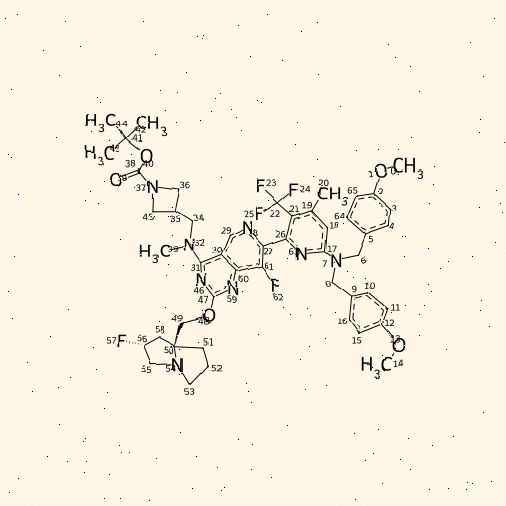 COc1ccc(CN(Cc2ccc(OC)cc2)c2cc(C)c(C(F)(F)F)c(-c3ncc4c(N(C)CC5CN(C(=O)OC(C)(C)C)C5)nc(OC[C@@]56CCCN5C[C@H](F)C6)nc4c3F)n2)cc1